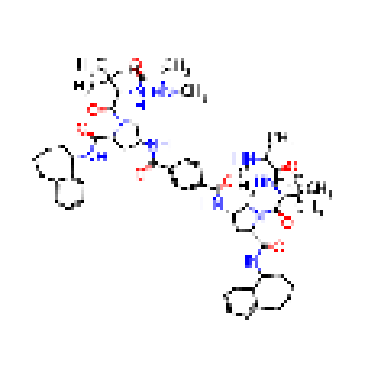 CN[C@@H](C)C(=O)N[C@H](C(=O)N1C[C@@H](NC(=O)c2ccc(C(=O)N[C@H]3C[C@@H](C(=O)N[C@@H]4CCCCc5ccccc54)N(C(=O)[C@@H](NC(=O)[C@H](C)NC)C(C)(C)C)C3)cc2)C[C@H]1C(=O)N[C@@H]1CCCCc2ccccc21)C(C)(C)C